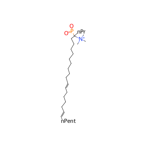 CCCCCC=CCCCCC=CCCCCCCCCCC(CCC)(P(=O)=O)[N+](C)(C)C